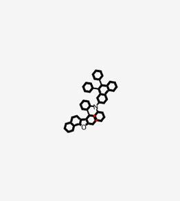 c1ccc(-c2c(-c3ccccc3)c3cc(N(c4ccccc4)c4ccccc4-c4cccc5oc6c7ccccc7ccc6c45)ccc3c3ccccc23)cc1